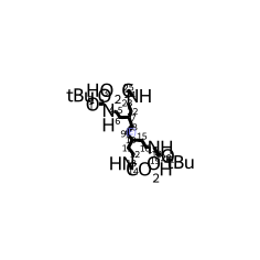 CC(C)(C)OC(=O)NCCC(/C=C/C(CCNC(=O)O)CCNC(=O)OC(C)(C)C)CCNC(=O)O